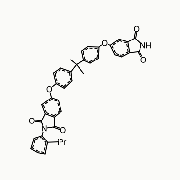 CC(C)c1ccccc1N1C(=O)c2ccc(Oc3ccc(C(C)(C)c4ccc(Oc5ccc6c(c5)C(=O)NC6=O)cc4)cc3)cc2C1=O